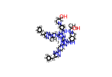 C[C@H](O)CN1CCc2ccc(Nc3nc(-c4nc(Nc5ccc(N6CCC[C@@H](O)C6)cc5)nc(N5CCN(c6ncc(Cc7ccccc7)cn6)[C@H](C)C5)n4)nc(N4CCN(c5ncc(Cc6ccccc6)cn5)CC4)n3)cc2C1